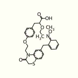 CCOC(Cc1ccc(OCCN2C(=O)CSc3ccc(CC4=CC=CCC4=NOC)cc32)cc1)C(=O)O